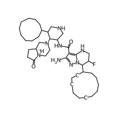 Nc1nn2c(c1C(=O)NC1CNCC(C3CCCCCCCCC3)C1N1CCN3C(=O)CC[C@H]3C1)NCC(F)C2C1CCCCCCCCCCC1